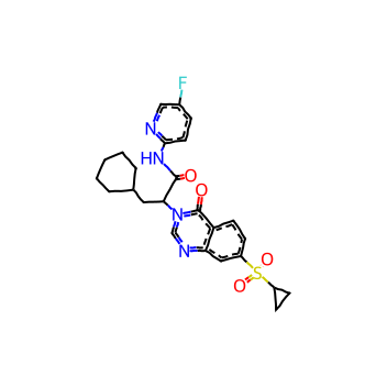 O=C(Nc1ccc(F)cn1)C(CC1CCCCC1)n1cnc2cc(S(=O)(=O)C3CC3)ccc2c1=O